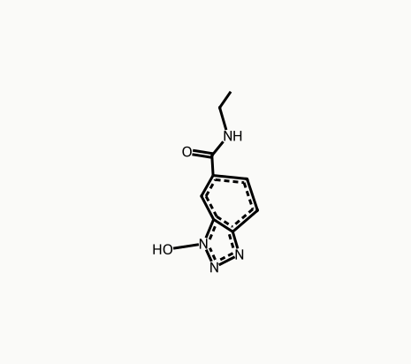 CCNC(=O)c1ccc2nnn(O)c2c1